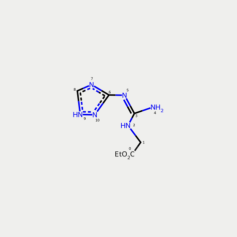 CCOC(=O)CNC(N)=Nc1nc[nH]n1